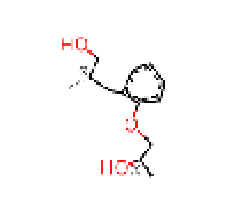 C[C@H](CO)Cc1ccccc1OC[C@@H](C)O